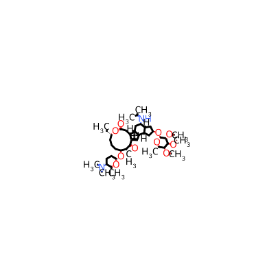 CC[C@H]1CCC[C@H](O[C@H]2CC[C@H](N(C)C)C(C)O2)[C@@H](C)C(=O)C2=C[C@@H]3[C@@H](C[C@@H](NC(C)C)[C@@H]4C[C@@H](O[C@@H]5OC(C)[C@H](OC)C(OC)C5OC)C[C@@H]34)[C@@H]2CC(=O)O1